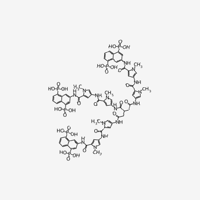 Cn1cc(NC(=O)CC(CC(=O)Nc2cc(C(=O)Nc3cc(C(=O)Nc4cc(P(=O)(O)O)c5cccc(P(=O)(O)O)c5c4)n(C)c3)n(C)c2)C(=O)Nc2cc(C(=O)Nc3cc(C(=O)Nc4cc(P(=O)(O)O)c5cccc(P(=O)(O)O)c5c4)n(C)c3)n(C)c2)cc1C(=O)Nc1cc(C(=O)Nc2cc(P(=O)(O)O)c3cccc(P(=O)(O)O)c3c2)n(C)c1